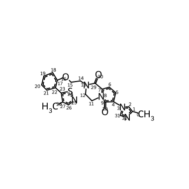 Cc1cn(-c2ccc3n(c2=O)CCN(CCOc2ccccc2-c2sncc2C)C3=O)cn1